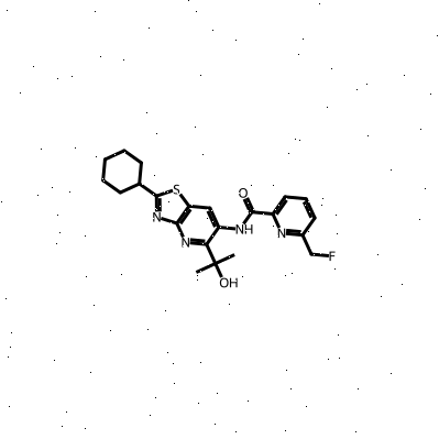 CC(C)(O)c1nc2nc(C3CCCCC3)sc2cc1NC(=O)c1cccc(CF)n1